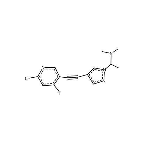 CC(N(C)C)n1cc(C#Cc2cnc(Cl)cc2F)cn1